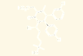 CC[C@@H](CCCC(C)(C)O)N1C(=O)C(CC(=O)O)=C(C)[C@H](c2cccc(Cl)c2)[C@H]1c1ccc(Cl)cc1